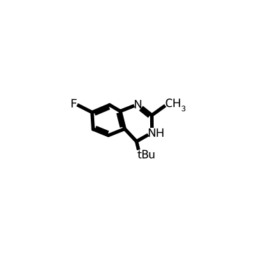 CC1=Nc2cc(F)ccc2C(C(C)(C)C)N1